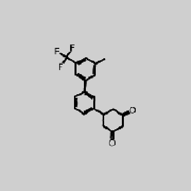 Cc1cc(-c2cccc(C3CC(=O)CC(=O)C3)c2)cc(C(F)(F)F)c1